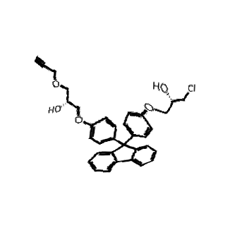 C#CCOC[C@@H](O)COc1ccc(C2(c3ccc(OC[C@H](O)CCl)cc3)c3ccccc3-c3ccccc32)cc1